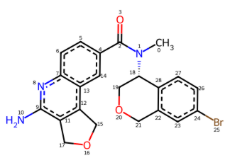 CN(C(=O)c1ccc2nc(N)c3c(c2c1)COC3)[C@H]1COCc2cc(Br)ccc21